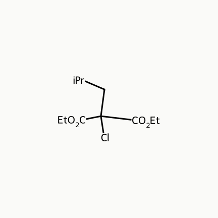 CCOC(=O)C(Cl)(CC(C)C)C(=O)OCC